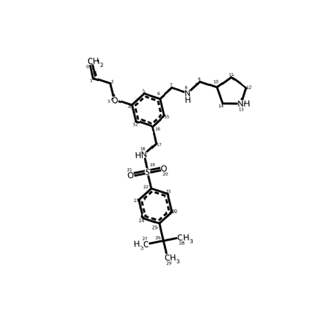 C=CCOc1cc(CNCC2CCNC2)cc(CNS(=O)(=O)c2ccc(C(C)(C)C)cc2)c1